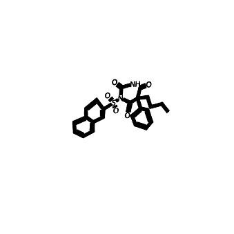 CCCCC1(c2ccccc2)C(=O)NC(=O)N(S(=O)(=O)c2ccc3ccccc3c2)C1=O